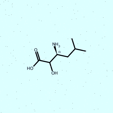 CC(C)C[C@H](N)C(O)C(=O)O